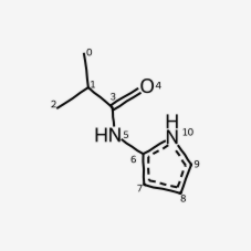 CC(C)C(=O)Nc1ccc[nH]1